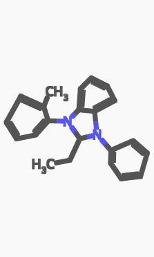 CCC1N(c2ccccc2)c2ccccc2N1c1ccccc1C